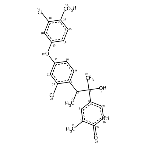 Cc1cc(C(O)(C(C)c2ccc(Oc3ccc(C(=O)O)c(Cl)c3)cc2Cl)C(F)(F)F)c[nH]c1=O